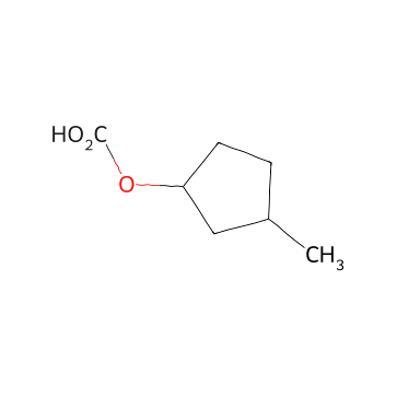 CC1CCC(OC(=O)O)C1